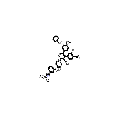 COc1ccc(-c2cnc(N3CCC(Nc4cccc(/C=C/C(=O)O)c4)CC3)c(C#N)c2-c2ccc(C#N)c(F)c2)cc1OCc1ccccc1